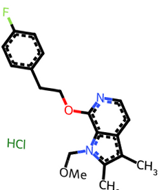 COCn1c(C)c(C)c2ccnc(OCCc3ccc(F)cc3)c21.Cl